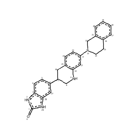 O=c1[nH]c2ccc(C3CNc4cc(N5CCc6ccccc6C5)ccc4C3)cc2[nH]1